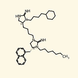 CCCCCCCN1C(=N)N(CCCC[C@H]2CNC(=N)N2CCCCC2CCCCC2)C[C@H]1Cc1cccc2ccccc12